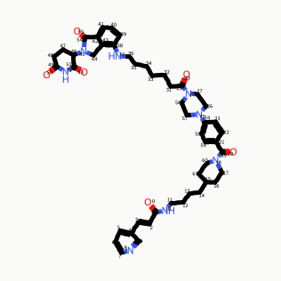 O=C(/C=C/c1cccnc1)NCCCCC1CCN(C(=O)c2ccc(N3CCN(C(=O)CCCCCCNc4cccc5c4CN(C4CCC(=O)NC4=O)C5=O)CC3)cc2)CC1